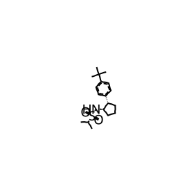 CC(C)S(=O)(=O)N[C@@H]1CCC[C@H]1c1ccc(C(C)(C)C)cc1